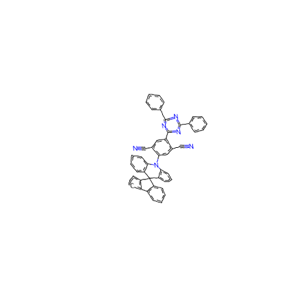 N#Cc1cc(N2c3ccccc3C3(c4ccccc4-c4ccccc43)c3ccccc32)c(C#N)cc1-c1nc(-c2ccccc2)nc(-c2ccccc2)n1